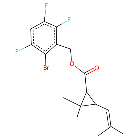 CC(C)=CC1C(C(=O)OCc2c(F)c(F)cc(F)c2Br)C1(C)C